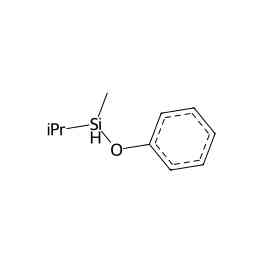 CC(C)[SiH](C)Oc1ccccc1